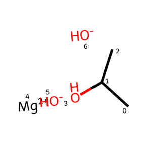 CC(C)O.[Mg+2].[OH-].[OH-]